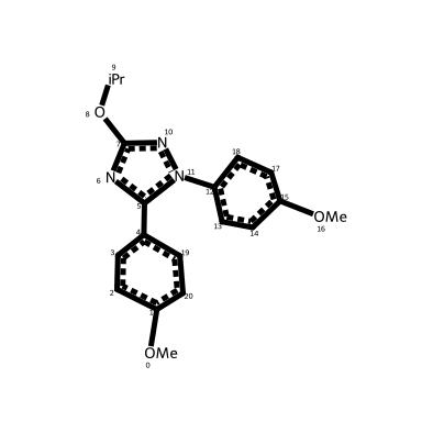 COc1ccc(-c2nc(OC(C)C)nn2-c2ccc(OC)cc2)cc1